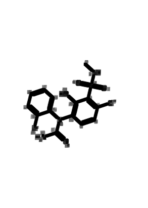 CNS(=O)(=O)c1c(Cl)ccc(N(C(N)=O)c2ccccc2Br)c1O